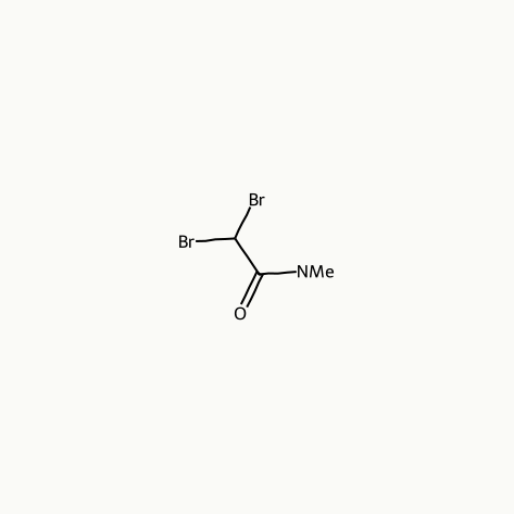 CNC(=O)C(Br)Br